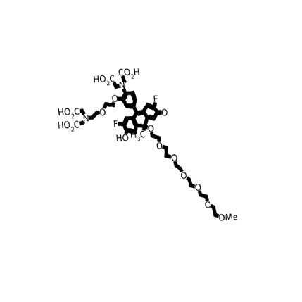 COCCOCCOCCOCCOCCOCCOC1(C)C2=CC(=O)C(F)=CC2=C(c2ccc(N(CC(=O)O)CC(=O)O)c(OCCOCCN(CC(=O)O)CC(=O)O)c2)c2cc(F)c(O)cc21